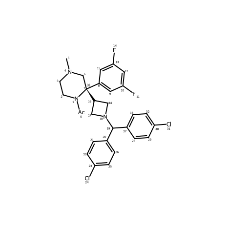 CC(=O)N1CCN(C)C[C@@]1(c1cc(F)cc(F)c1)C1CN(C(c2ccc(Cl)cc2)c2ccc(Cl)cc2)C1